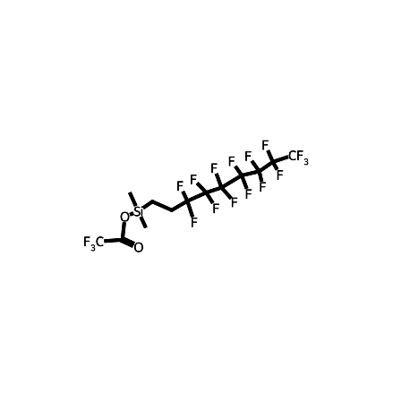 C[Si](C)(CCC(F)(F)C(F)(F)C(F)(F)C(F)(F)C(F)(F)C(F)(F)C(F)(F)F)OC(=O)C(F)(F)F